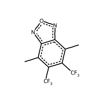 Cc1c(C(F)(F)F)c(C(F)(F)F)c(C)c2nonc12